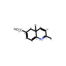 CC1=NC2=CC=C(C(=O)O)CC2(C)C=C1